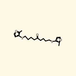 Cc1occc1SCCCCC(=O)CCCCSc1ccoc1C